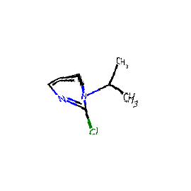 CC(C)n1ccnc1Cl